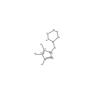 Cc1nn(CC2CCCCC2)c(C)c1C